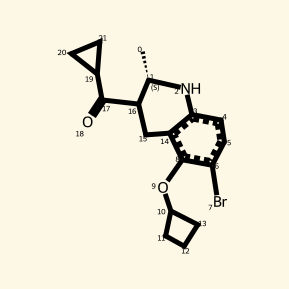 C[C@@H]1Nc2ccc(Br)c(OC3CCC3)c2CC1C(=O)C1CC1